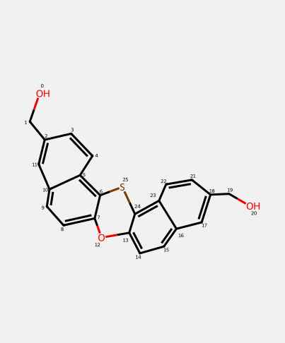 OCc1ccc2c3c(ccc2c1)Oc1ccc2cc(CO)ccc2c1S3